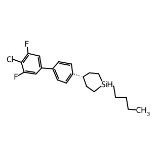 CCCCC[Si@H]1CC[C@H](c2ccc(-c3cc(F)c(Cl)c(F)c3)cc2)CC1